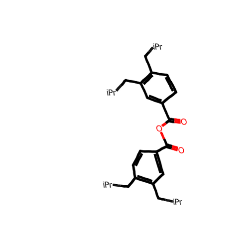 CC(C)Cc1ccc(C(=O)OC(=O)c2ccc(CC(C)C)c(CC(C)C)c2)cc1CC(C)C